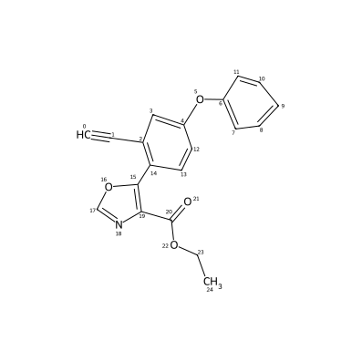 C#Cc1cc(Oc2ccccc2)ccc1-c1ocnc1C(=O)OCC